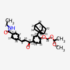 CCNC(=O)c1ccc(C=CC(=O)c2ccc(OCOC(C)OC)c(C34CC5CC(CC(C5)C3)C4)c2)cc1